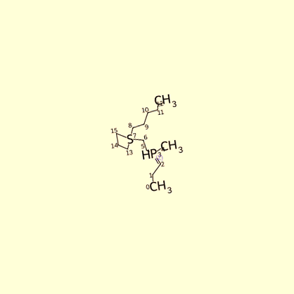 CC/C=[PH](/C)CCS1(CCCCC)CCC1